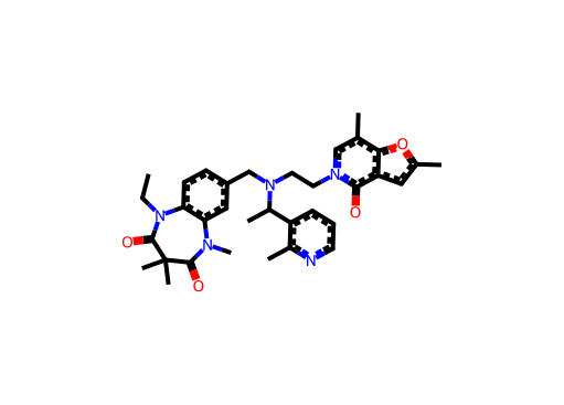 CCN1C(=O)C(C)(C)C(=O)N(C)c2cc(CN(CCn3cc(C)c4oc(C)cc4c3=O)C(C)c3cccnc3C)ccc21